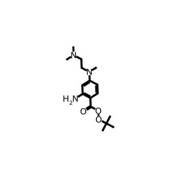 CN(C)CCN(C)c1ccc(C(=O)OOC(C)(C)C)c(N)c1